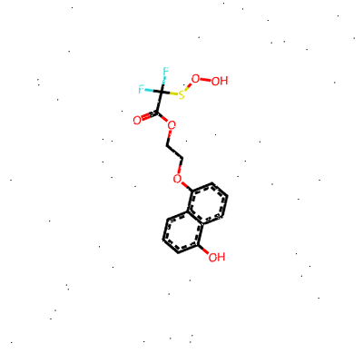 O=C(OCCOc1cccc2c(O)cccc12)C(F)(F)SOO